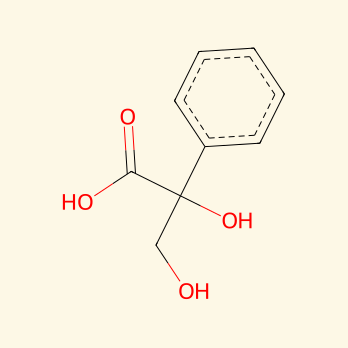 O=C(O)C(O)(CO)c1ccccc1